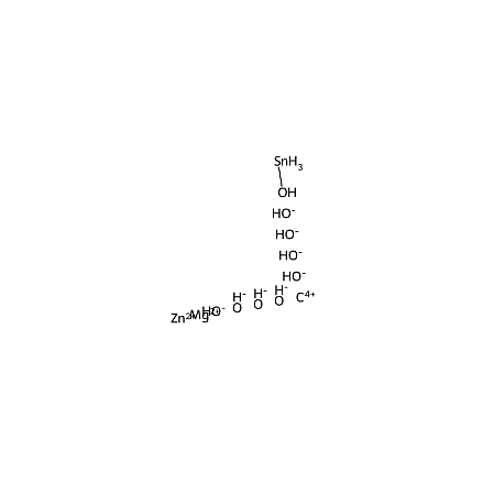 [C+4].[Mg+2].[OH-].[OH-].[OH-].[OH-].[OH-].[OH-].[OH-].[OH-].[OH][SnH3].[Zn+2]